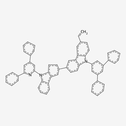 C=Cc1ccc2c(c1)c1cc(-c3ccc4c(c3)c3ccccc3n4-c3cc(-c4ccccc4)cc(-c4ccccc4)n3)ccc1n2-c1cc(-c2ccccc2)cc(-c2ccccc2)c1